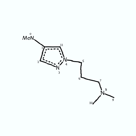 CNc1cnn(CCCN(C)C)c1